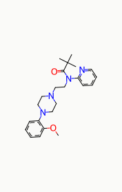 COc1ccccc1N1CCN(CCN(C(=O)C(C)(C)C)c2ccccn2)CC1